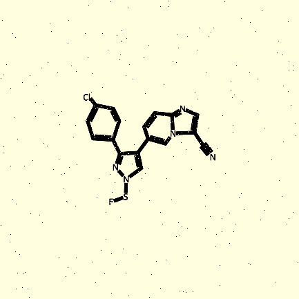 N#Cc1cnc2ccc(-c3cn(SF)nc3-c3ccc(Cl)cc3)cn12